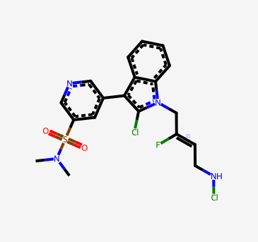 CN(C)S(=O)(=O)c1cncc(-c2c(Cl)n(C/C(F)=C/CNCl)c3ccccc23)c1